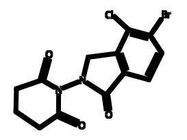 O=C1c2ccc(Br)c(Cl)c2CN1N1C(=O)CCCC1=O